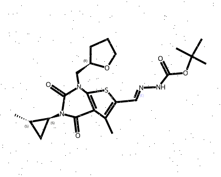 Cc1c(/C=N/NC(=O)OC(C)(C)C)sc2c1c(=O)n([C@H]1C[C@@H]1C)c(=O)n2C[C@H]1CCCO1